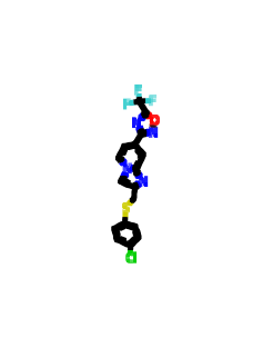 FC(F)(F)c1nc(-c2ccn3cc(CSc4ccc(Cl)cc4)nc3c2)no1